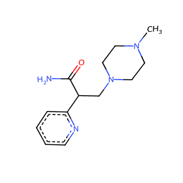 CN1CCN(CC(C(N)=O)c2ccccn2)CC1